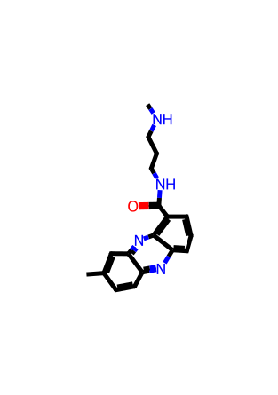 CNCCCNC(=O)c1cccc2nc3ccc(C)cc3nc12